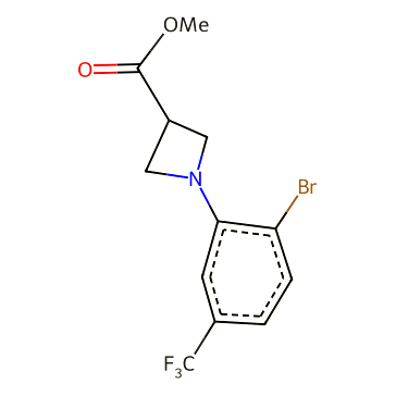 COC(=O)C1CN(c2cc(C(F)(F)F)ccc2Br)C1